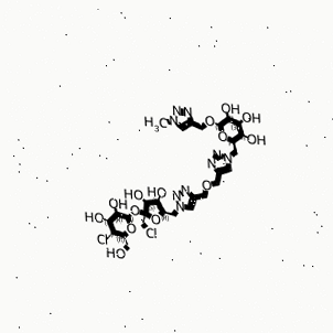 Cn1cc(CO[C@H]2O[C@H](Cn3cc(COCc4cn(C[C@H]5O[C@@](CCl)(O[C@H]6O[C@H](CO)[C@H](Cl)[C@H](O)[C@H]6O)[C@@H](O)[C@@H]5O)nn4)nn3)[C@@H](O)[C@H](O)[C@@H]2O)nn1